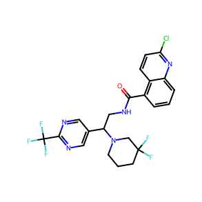 O=C(NCC(c1cnc(C(F)(F)F)nc1)N1CCCC(F)(F)C1)c1cccc2nc(Cl)ccc12